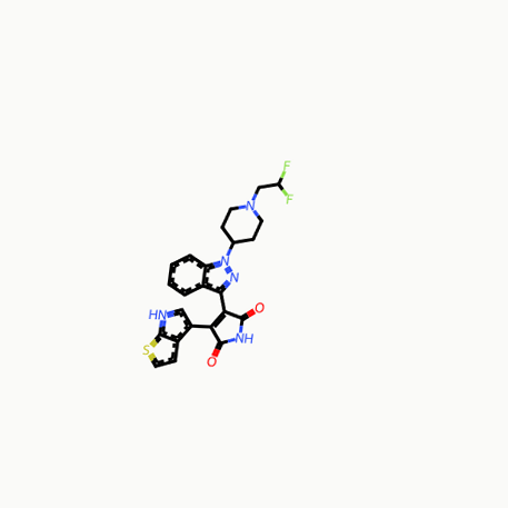 O=C1NC(=O)C(c2nn(C3CCN(CC(F)F)CC3)c3ccccc23)=C1c1c[nH]c2sccc12